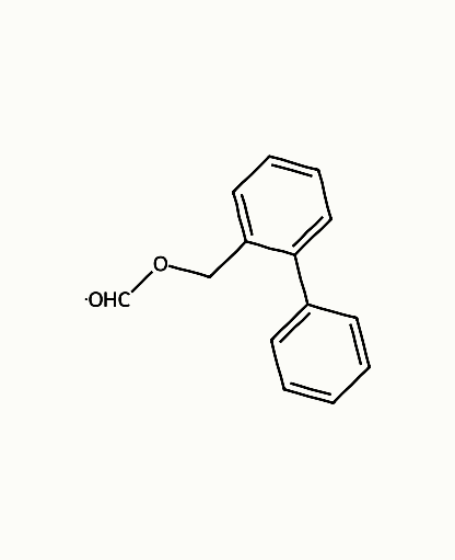 O=[C]OCc1ccccc1-c1ccccc1